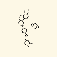 C1=COCCO1.Cc1ccc(COc2ccc([C@@H]3C=c4c(ccc5c6c(ccc45)=CCCC=6)=CC3)cc2)cc1C